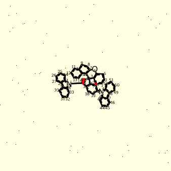 c1ccc2c(c1)Oc1ccc3ccccc3c1C21c2ccc(-n3c4ccccc4c4ccccc43)cc2-c2ccc(-n3c4ccccc4c4ccccc43)cc21